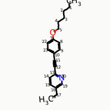 CCCCCCOc1ccc(C#Cc2ccc(CC)cn2)cc1